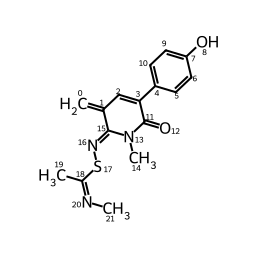 C=C1C=C(c2ccc(O)cc2)C(=O)N(C)C1=NS/C(C)=N\C